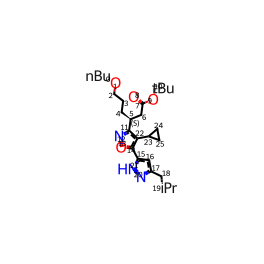 CCCCOCCC[C@@H](CC(=O)OC(C)(C)C)c1noc(-c2cc(CC(C)C)n[nH]2)c1C1CC1